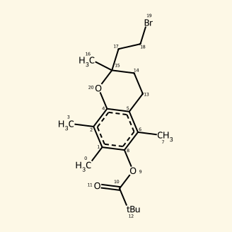 Cc1c(C)c2c(c(C)c1OC(=O)C(C)(C)C)CCC(C)(CCBr)O2